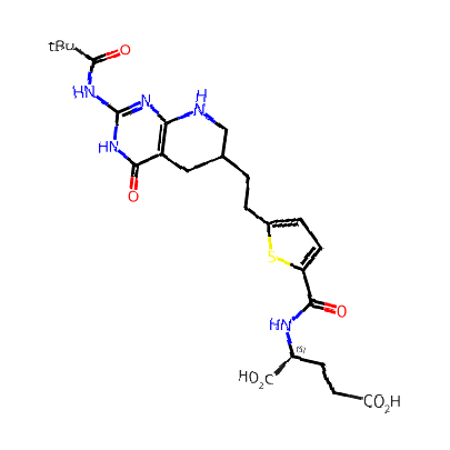 CC(C)(C)C(=O)Nc1nc2c(c(=O)[nH]1)CC(CCc1ccc(C(=O)N[C@@H](CCC(=O)O)C(=O)O)s1)CN2